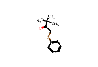 CC(C)(C)C(=O)CSc1ccccc1